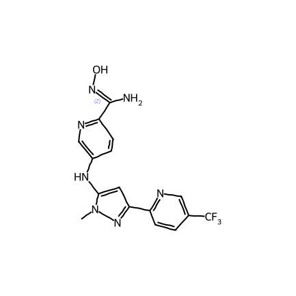 Cn1nc(-c2ccc(C(F)(F)F)cn2)cc1Nc1ccc(/C(N)=N/O)nc1